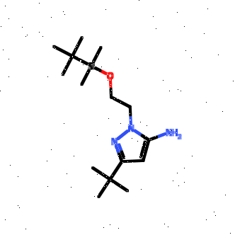 CC(C)(C)c1cc(N)n(CCO[Si](C)(C)C(C)(C)C)n1